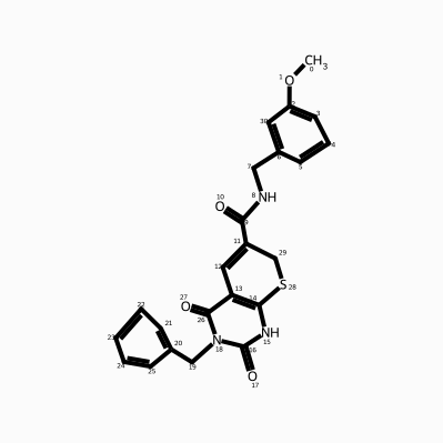 COc1cccc(CNC(=O)C2=Cc3c([nH]c(=O)n(Cc4ccccc4)c3=O)SC2)c1